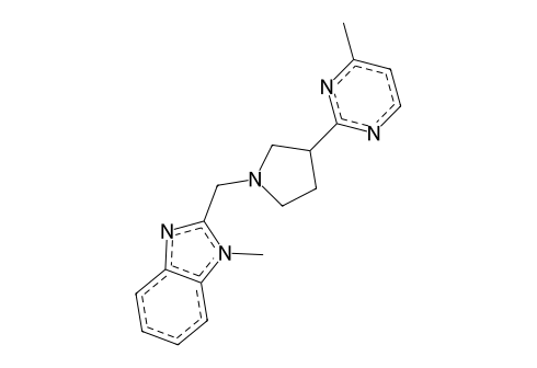 Cc1ccnc(C2CCN(Cc3nc4ccccc4n3C)C2)n1